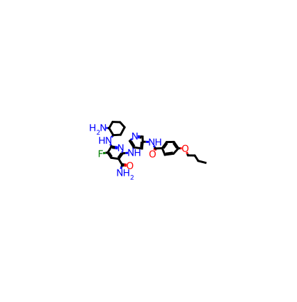 CCCCOc1ccc(C(=O)Nc2cncc(Nc3nc(NC4CCCCC4N)c(F)cc3C(N)=O)c2)cc1